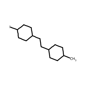 CC1CCC(CCC2CCC(I)CC2)CC1